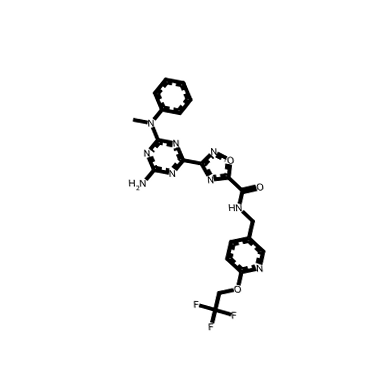 CN(c1ccccc1)c1nc(N)nc(-c2noc(C(=O)NCc3ccc(OCC(F)(F)F)nc3)n2)n1